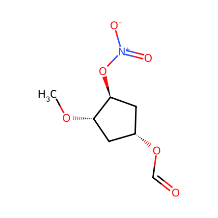 CO[C@H]1C[C@@H](OC=O)C[C@@H]1O[N+](=O)[O-]